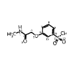 CNC(=O)COc1cccc(S(=O)(=O)Cl)c1